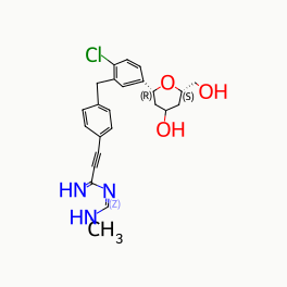 CN/C=N\C(=N)C#Cc1ccc(Cc2cc([C@H]3CC(O)C[C@@H](CO)O3)ccc2Cl)cc1